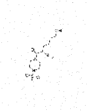 CS(=O)(=O)N1CCN(C(=O)C(N)CCCCO)CC1